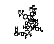 CN1N(Cc2ccc(OC[C@@H]3CCCN3)c(F)c2F)C(O)C(C(=O)Nc2ccc(C(F)(F)F)cc2-c2cc(C(F)(F)F)ncn2)=C(O)C12CCC2